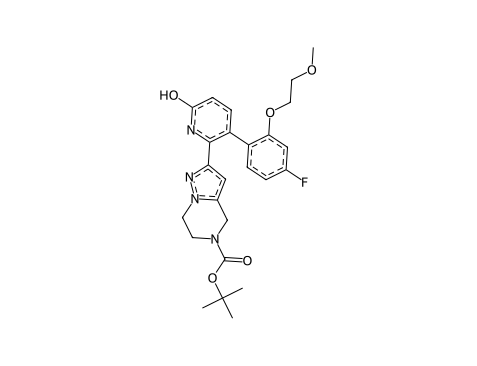 COCCOc1cc(F)ccc1-c1ccc(O)nc1-c1cc2n(n1)CCN(C(=O)OC(C)(C)C)C2